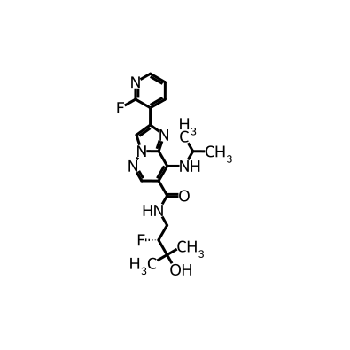 CC(C)Nc1c(C(=O)NC[C@@H](F)C(C)(C)O)cnn2cc(-c3cccnc3F)nc12